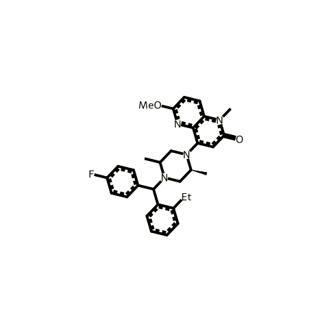 CCc1ccccc1C(c1ccc(F)cc1)N1C[C@H](C)N(c2cc(=O)n(C)c3ccc(OC)nc23)CC1C